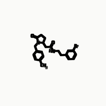 Cc1ccc(CN2C(=O)CCC2CC(=O)NCCc2cccc(Br)c2)cc1